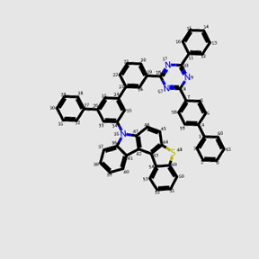 c1ccc(-c2ccc(-c3nc(-c4ccccc4)nc(-c4cccc(-c5cc(-c6ccccc6)cc(-n6c7ccccc7c7c8c(ccc76)sc6ccccc68)c5)c4)n3)cc2)cc1